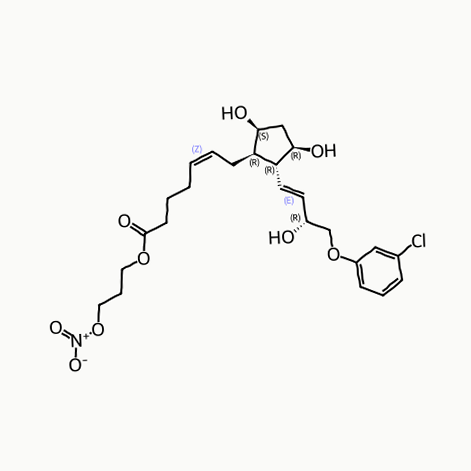 O=C(CCC/C=C\C[C@@H]1[C@@H](/C=C/[C@@H](O)COc2cccc(Cl)c2)[C@H](O)C[C@@H]1O)OCCCO[N+](=O)[O-]